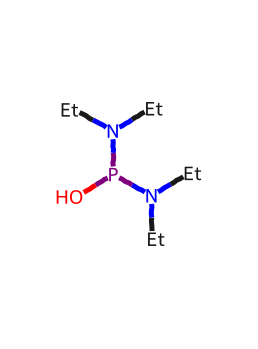 CCN(CC)P(O)N(CC)CC